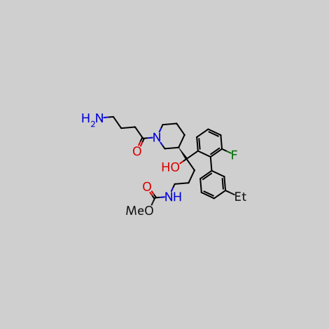 CCc1cccc(-c2c(F)cccc2C(O)(CCCNC(=O)OC)[C@@H]2CCCN(C(=O)CCCN)C2)c1